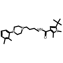 Cc1cccc(N2CCN(CCCCNC(=O)c3cc(C(C)(C)C)n(C)c3C)CC2)c1C